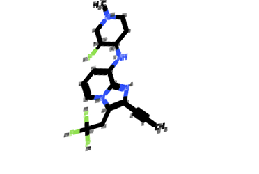 CC#Cc1nc2c(N[C@@H]3CCN(C)C[C@@H]3F)cccn2c1CC(F)(F)F